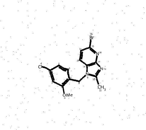 COc1cc(Cl)ccc1Cn1c(C)nc2nc(Br)ccc21